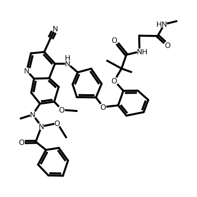 CNC(=O)CNC(=O)C(C)(C)Oc1ccccc1Oc1ccc(Nc2c(C#N)cnc3cc(N(C)N(OC)C(=O)c4ccccc4)c(OC)cc23)cc1